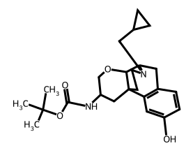 CC(C)(C)OC(=O)NC1COC2C3Cc4ccc(O)cc4C2(CCN3CC2CC2)C1